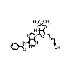 C#CCOC[C@H]1O[C@@H](n2cnc3c(NC(=O)c4ccccc4)ncnc32)[C@H]2OC(C)(C)OC12